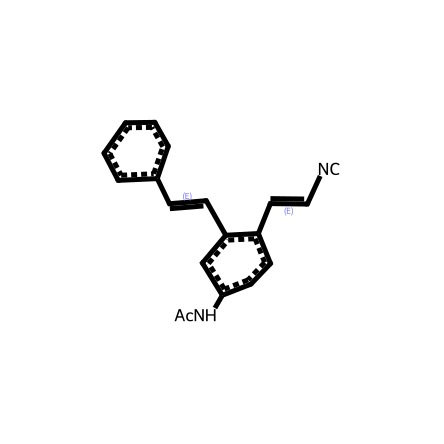 [C-]#[N+]/C=C/c1ccc(NC(C)=O)cc1/C=C/c1ccccc1